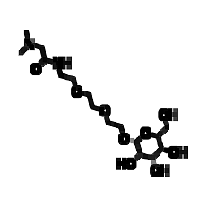 CN(C)CC(=O)NCCOCCOCCO[C@@H]1OC(CO)[C@@H](O)[C@H](O)C1O